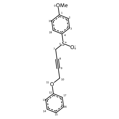 COc1ccc([S+]([O-])CC#CCOc2ccccc2)cc1